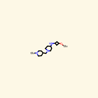 CC(C)(C)OC1CC(NC2CCN(CC3CCN(C(C)(C)C)CC3)CC2)C1